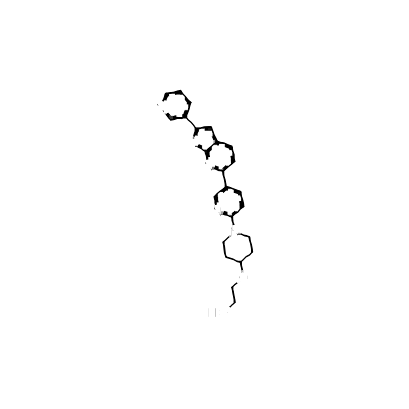 OCCOC1CCN(c2ccc(-c3ccc4cc(-c5cccnc5)sc4n3)cn2)CC1